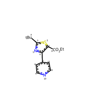 CCOC(=O)c1sc(C(C)(C)C)nc1-c1ccncc1